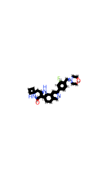 O=C1NC2(CCC2)Cc2[nH]c3c(c21)CCc1cnc(-c2ccc(CN4CCOCC4)c(F)c2)cc1-3